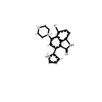 O=C1Nc2ccc(F)c3c(N4CCOCC4)cc(-c4ccc[nH]4)c1c23